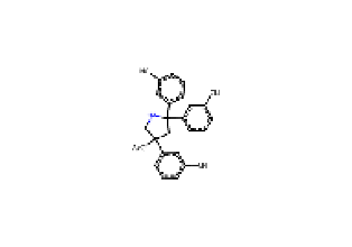 CC(=O)OC1(c2cccc(C#N)c2)CNC(c2cccc(C#N)c2)(c2cccc(C#N)c2)C1